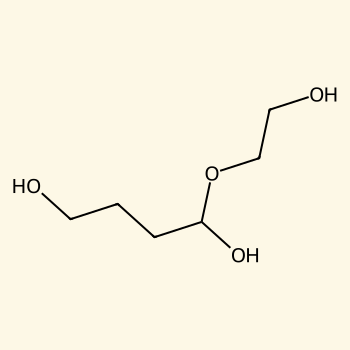 OCCCC(O)OCCO